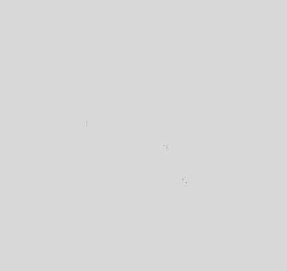 CCN(CC)C(=O)N(Oc1ccc(C(F)(F)F)c(Cl)c1)c1ccccc1